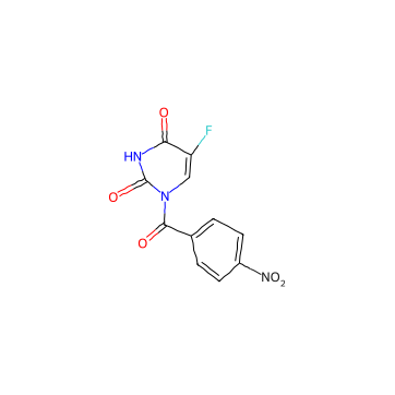 O=C(c1ccc([N+](=O)[O-])cc1)n1cc(F)c(=O)[nH]c1=O